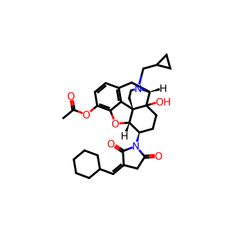 CC(=O)Oc1ccc2c3c1O[C@H]1[C@H](N4C(=O)CC(=CC5CCCCC5)C4=O)CCC4(O)[C@@H](C2)N(CC2CC2)CC[C@]314